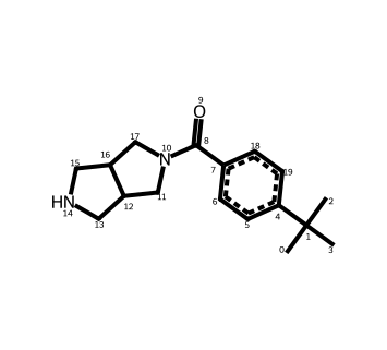 CC(C)(C)c1ccc(C(=O)N2CC3CNCC3C2)cc1